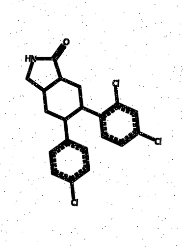 O=C1NCC2CC(c3ccc(Cl)cc3)C(c3ccc(Cl)cc3Cl)CC12